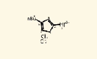 CCCCC1=CC[C]([Hf+2])=C1.[Cl-].[Cl-]